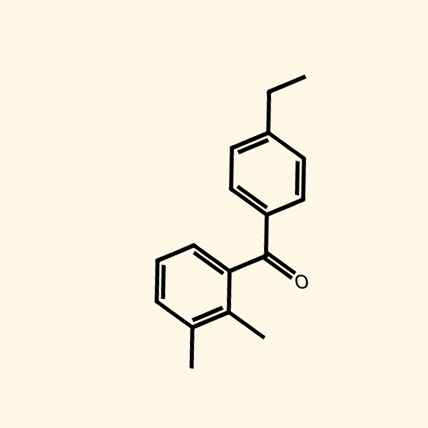 CCc1ccc(C(=O)c2cccc(C)c2C)cc1